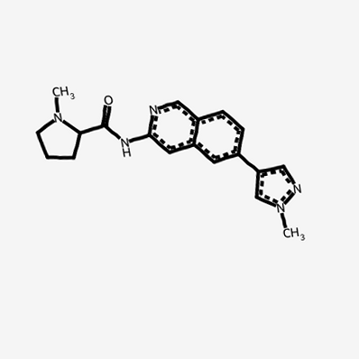 CN1CCCC1C(=O)Nc1cc2cc(-c3cnn(C)c3)ccc2cn1